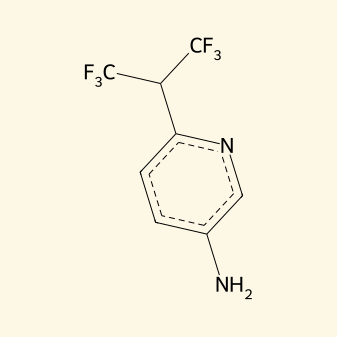 Nc1ccc(C(C(F)(F)F)C(F)(F)F)nc1